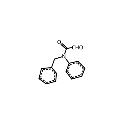 O=CC(=O)N(Cc1ccccc1)c1ccccc1